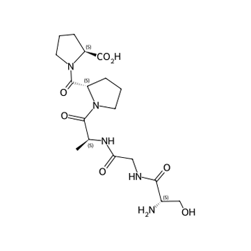 C[C@H](NC(=O)CNC(=O)[C@@H](N)CO)C(=O)N1CCC[C@H]1C(=O)N1CCC[C@H]1C(=O)O